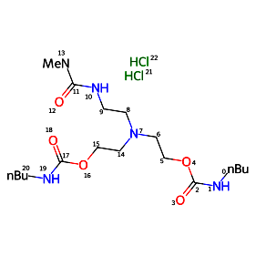 CCCCNC(=O)OCCN(CCNC(=O)NC)CCOC(=O)NCCCC.Cl.Cl